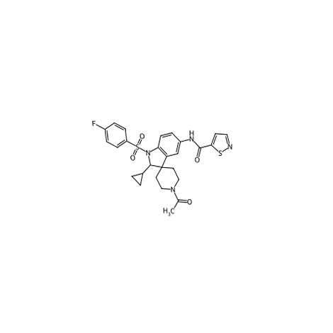 CC(=O)N1CCC2(CC1)c1cc(NC(=O)c3ccns3)ccc1N(S(=O)(=O)c1ccc(F)cc1)C2C1CC1